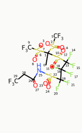 CC(S(=O)(=O)C(F)(F)F)(S(=O)(=O)C(F)(F)F)S(=O)(=O)C(F)(F)C(F)(F)C(F)(F)S(=O)(=O)NC(=O)CC(F)(F)F